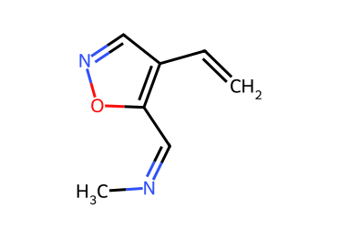 C=Cc1cnoc1/C=N\C